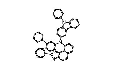 c1ccc(-c2cccc(N(c3ccc4c(c3)c3ccccc3n4-c3ccccc3)c3cccc4ccc5nc(-c6ccccc6)oc5c34)c2)cc1